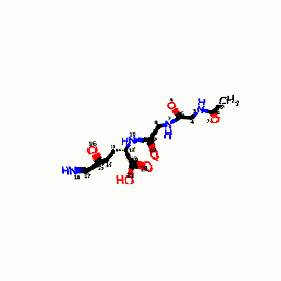 CC(=O)NCC(=O)NCC(=O)N[C@@H](CCC(=O)C=N)C(=O)O